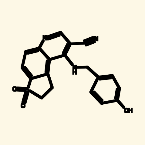 N#Cc1cnc2ccc3c(c2c1NCc1ccc(O)cc1)CCS3(=O)=O